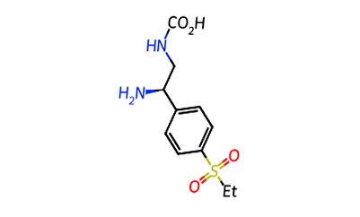 CCS(=O)(=O)c1ccc([C@@H](N)CNC(=O)O)cc1